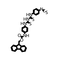 O=C(Nc1ccc(NC(=S)NC(=S)Nc2ccc(N=C=S)cc2)cc1)OCC1c2ccccc2-c2ccccc21